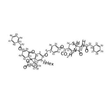 CCCCCCc1cc2c(cc1OCc1ccc(OCC3=C(C(=O)O)N4C(=O)[C@H](NC(=O)Cc5ccccc5)[C@@H]4SC3)cc1)Oc1cc(OCc3ccccc3)ccc1C21OC(=O)c2ccccc21